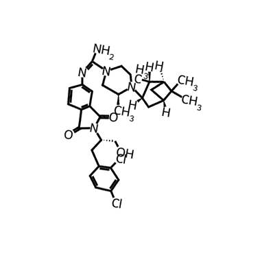 C[C@H]1[C@@H](N2CCN(C(N)=Nc3ccc4c(c3)C(=O)N([C@H](CO)Cc3ccc(Cl)cc3Cl)C4=O)C[C@@H]2C)C[C@@H]2C[C@@H]1C2(C)C